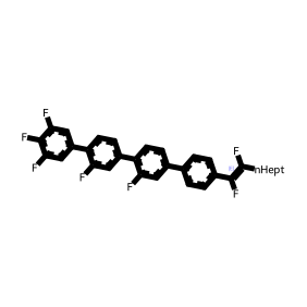 CCCCCCC/C(F)=C(\F)c1ccc(-c2ccc(-c3ccc(-c4cc(F)c(F)c(F)c4)c(F)c3)c(F)c2)cc1